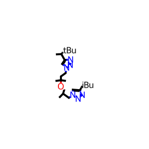 CCC(C)c1cn(CC(C)COC(C)(C)CCn2cc(C(C)C(C)(C)C)nn2)nn1